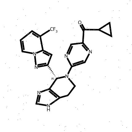 O=C(c1cnc(N2CCc3[nH]cnc3[C@@H]2c2cc3c(C(F)(F)F)cccn3n2)cn1)C1CC1